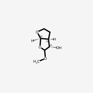 COC1O[C@H]2OCC[C@H]2[C@@H]1O